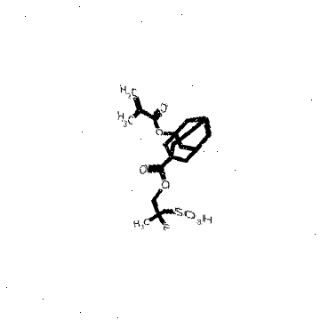 C=C(C)C(=O)OC12CC3CC(C1)CC(C(=O)OCC(C)(F)S(=O)(=O)O)(C3)C2